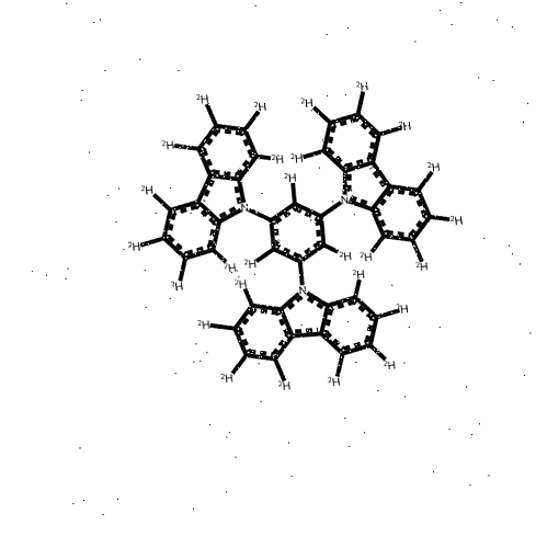 [2H]c1c(-n2c3c([2H])c([2H])c([2H])c([2H])c3c3c([2H])c([2H])c([2H])c([2H])c32)c([2H])c(-n2c3c([2H])c([2H])c([2H])c([2H])c3c3c([2H])c([2H])c([2H])c([2H])c32)c([2H])c1-n1c2c([2H])c([2H])c([2H])c([2H])c2c2c([2H])c([2H])c([2H])c([2H])c21